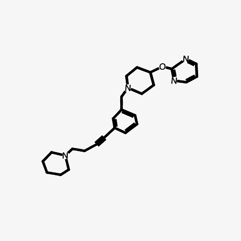 C(#Cc1cccc(CN2CCC(Oc3ncccn3)CC2)c1)CCN1CCCCC1